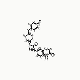 O=C(CN1CCC(Cc2ccc(F)cc2)CC1)Nc1ccc2c(c1)OCC(=O)N2